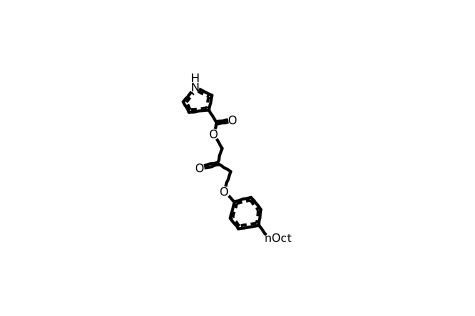 CCCCCCCCc1ccc(OCC(=O)COC(=O)c2cc[nH]c2)cc1